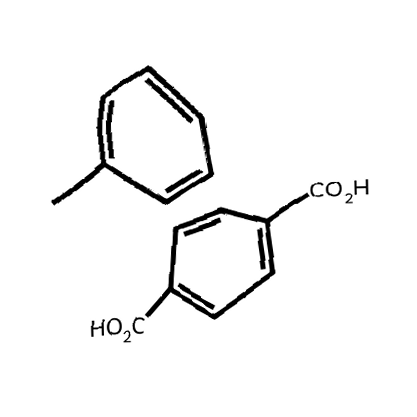 Cc1ccccc1.O=C(O)c1ccc(C(=O)O)cc1